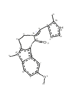 COc1ccc2c(c1)c1c(n2C)CC/C(=C/c2nc[nH]c2C)C1=O